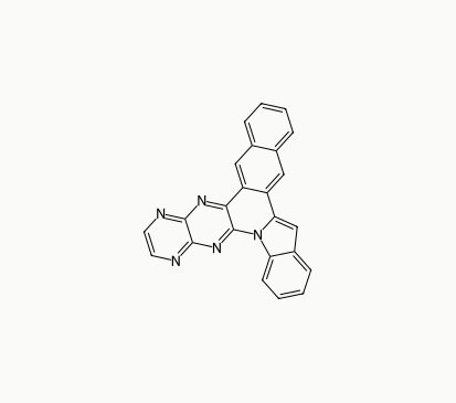 c1ccc2cc3c(cc2c1)c1nc2nccnc2nc1n1c2ccccc2cc31